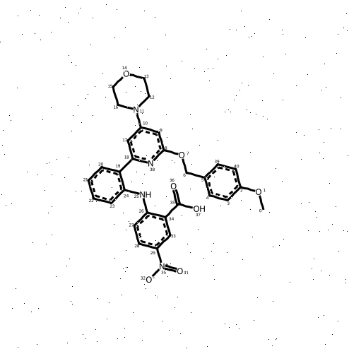 COc1ccc(COc2cc(N3CCOCC3)cc(-c3ccccc3Nc3ccc([N+](=O)[O-])cc3C(=O)O)n2)cc1